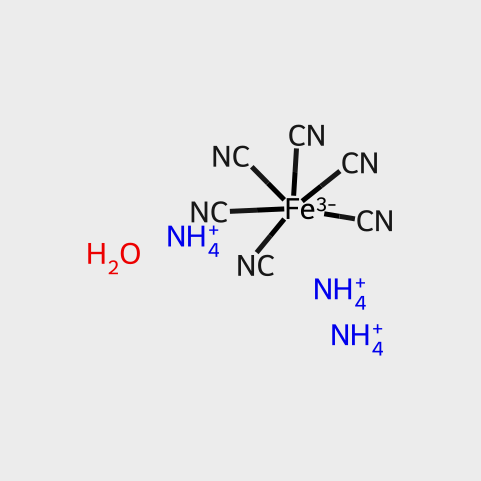 N#[C][Fe-3]([C]#N)([C]#N)([C]#N)([C]#N)[C]#N.O.[NH4+].[NH4+].[NH4+]